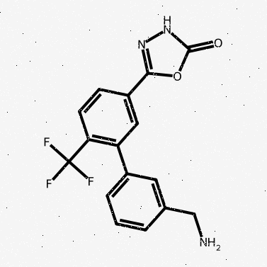 NCc1cccc(-c2cc(-c3n[nH]c(=O)o3)ccc2C(F)(F)F)c1